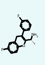 C[C@@H](N)C1=C(c2cccc(F)c2)Cc2cc(F)ccc2O1